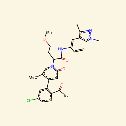 C=C/C(=C\c1cn(C)nc1C)NC(=O)C(CCOC(C)(C)C)n1cc(OC)c(-c2cc(Cl)ccc2C(=O)CC)cc1=O